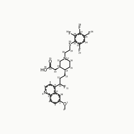 COc1ccc2nccc(C(F)CC[C@@H]3CCN(CCSc4c(F)cc(F)c(F)c4F)C[C@@H]3CC(=O)O)c2c1